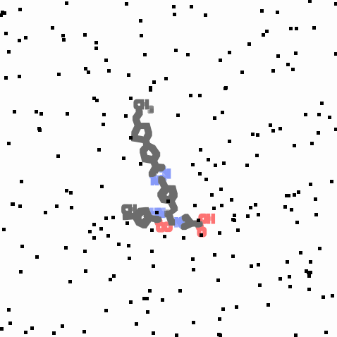 CCCC1CCC(C2CC=C(c3cnc(-c4ccc(C[C@H](NC(=O)c5ccc(CC)cc5)C(=O)N5CC(C(=O)O)C5)cc4)nc3)CC2)CC1